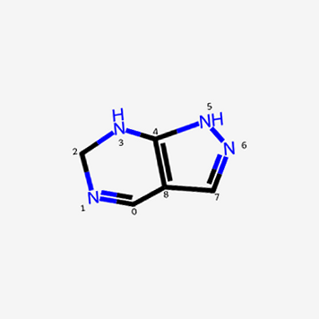 C1=NCNc2[nH]ncc21